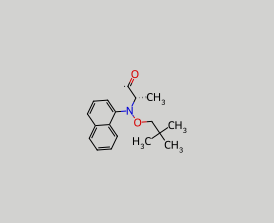 C[C@@H]([C]=O)N(OCC(C)(C)C)c1cccc2ccccc12